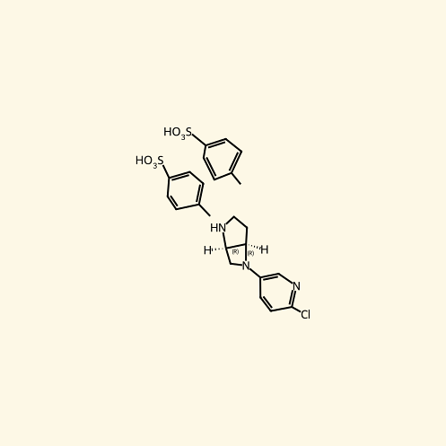 Cc1ccc(S(=O)(=O)O)cc1.Cc1ccc(S(=O)(=O)O)cc1.Clc1ccc(N2C[C@H]3NCC[C@H]32)cn1